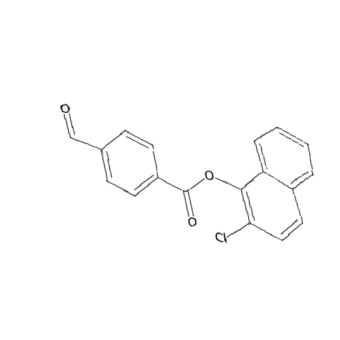 O=Cc1ccc(C(=O)Oc2c(Cl)ccc3ccccc23)cc1